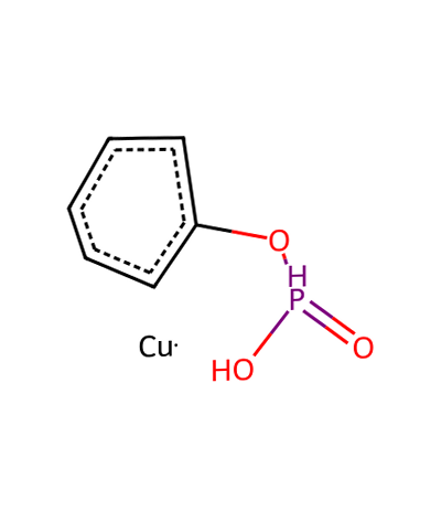 O=[PH](O)Oc1ccccc1.[Cu]